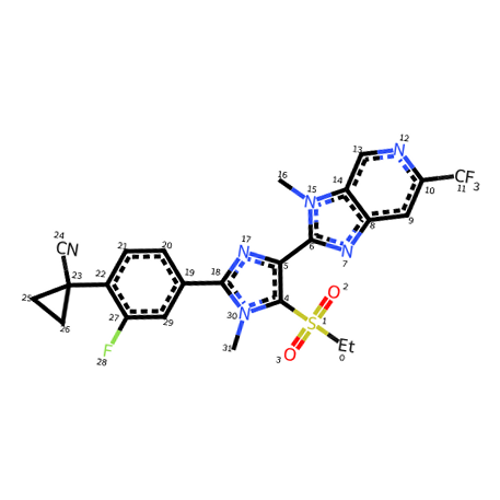 CCS(=O)(=O)c1c(-c2nc3cc(C(F)(F)F)ncc3n2C)nc(-c2ccc(C3(C#N)CC3)c(F)c2)n1C